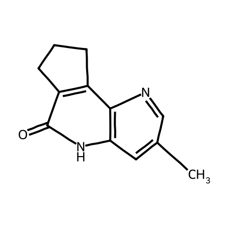 Cc1cnc2c3c(c(=O)[nH]c2c1)CCC3